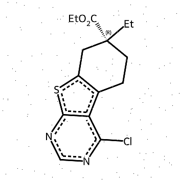 CCOC(=O)[C@]1(CC)CCc2c(sc3ncnc(Cl)c23)C1